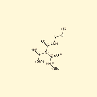 CCOCNC(=O)N(C(=N)SC)C(=O)NC(C)(C)C